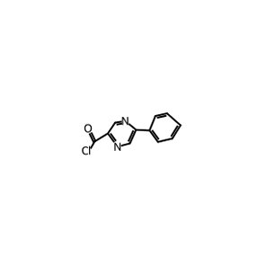 O=C(Cl)c1cnc(-c2ccccc2)cn1